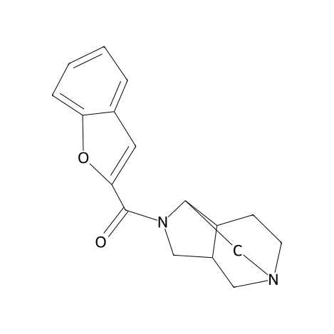 O=C(c1cc2ccccc2o1)N1CC2CN3CCC2C1C3